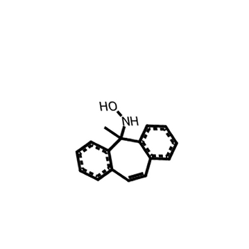 CC1(NO)c2ccccc2C=Cc2ccccc21